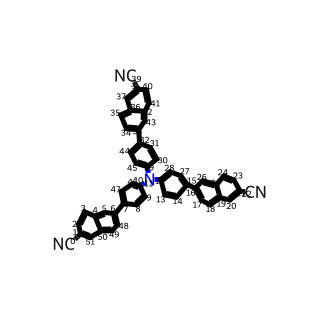 N#Cc1ccc2cc(-c3ccc(N(c4ccc(-c5ccc6cc(C#N)ccc6c5)cc4)c4ccc(-c5ccc6cc(C#N)ccc6c5)cc4)cc3)ccc2c1